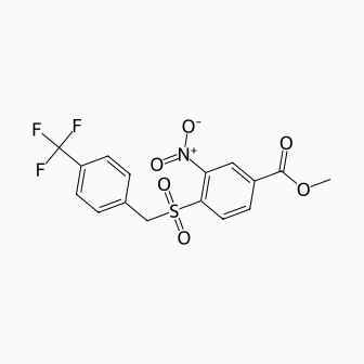 COC(=O)c1ccc(S(=O)(=O)Cc2ccc(C(F)(F)F)cc2)c([N+](=O)[O-])c1